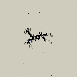 C/C=C(\C=C/CCl)c1nc2ccc(C(=O)N(CCC)CCCC)cc2nc1CCCCC(=O)O